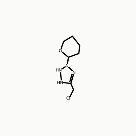 ClCC1=NN(C2CCCCO2)NN1